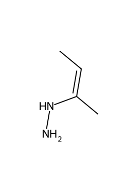 CC=C(C)NN